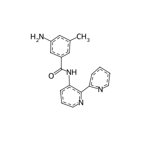 Cc1cc(N)cc(C(=O)Nc2cccnc2-c2ccccn2)c1